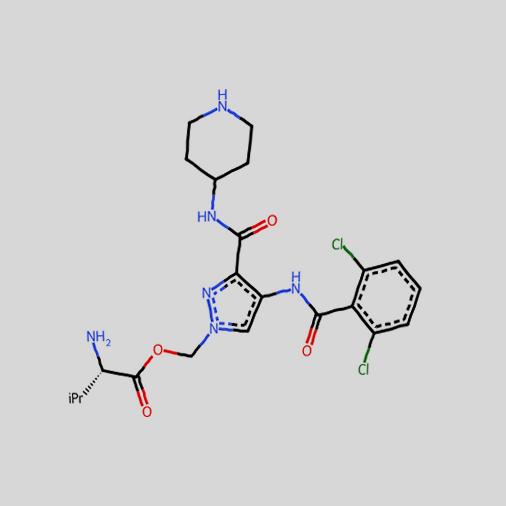 CC(C)[C@H](N)C(=O)OCn1cc(NC(=O)c2c(Cl)cccc2Cl)c(C(=O)NC2CCNCC2)n1